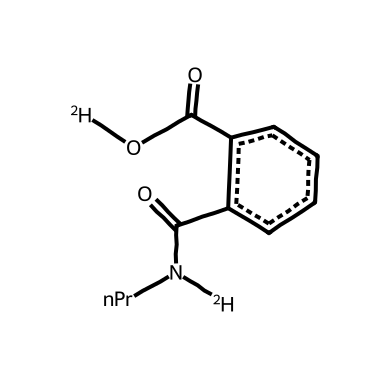 [2H]OC(=O)c1ccccc1C(=O)N([2H])CCC